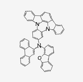 c1ccc2c(c1)cc(N(c1ccc3c(c1)n1c4ccccc4c4ccc5c6ccccc6n3c5c41)c1cccc3c1oc1ccccc13)c1ccccc12